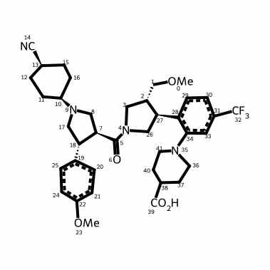 COC[C@H]1CN(C(=O)[C@@H]2CN([C@H]3CC[C@@H](C#N)CC3)C[C@H]2c2ccc(OC)cc2)C[C@@H]1c1ccc(C(F)(F)F)cc1N1CCC(C(=O)O)CC1